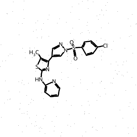 Cc1sc(Nc2ccccn2)nc1-c1cnn(S(=O)(=O)c2ccc(Cl)cc2)c1